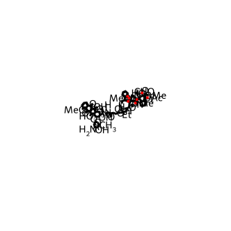 CC[C@]1(OC(=O)CCC(=O)N/N=C(\CO)[C@]2(O)Cc3c(O)c4c(c(O)c3[C@@H](O[C@H]3C[C@H](N)[C@H](O)[C@H](C)O3)C2)C(=O)c2c(OC)cccc2C4=O)C[C@@H]2C[N@@](CCc3c([nH]c4ccccc34)[C@@](C(=O)OC)(c3cc4c(cc3OC)N(C=O)[C@H]3[C@@](O)(C(=O)OC)[C@H](OC(C)=O)[C@]5(CC)C=CCN6CC[C@]43[C@@H]65)C2)C1